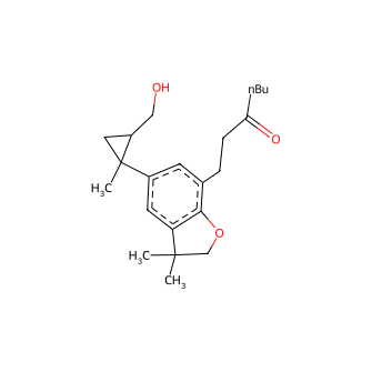 CCCCC(=O)CCc1cc(C2(C)CC2CO)cc2c1OCC2(C)C